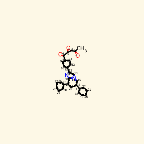 CC(=O)C1OC1C(=O)c1ccc(-c2cn3cc(-c4ccccc4)cc(-c4ccccc4)c3n2)cc1